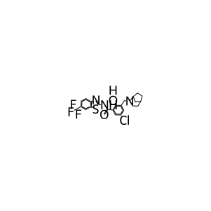 O=C(Nc1nc2ccc(C(F)(F)F)cc2s1)c1cc(Cl)cc(CN2CCC3CCC2C3)c1O